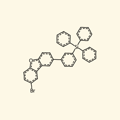 Brc1ccc2oc3ccc(-c4cccc([Si](c5ccccc5)(c5ccccc5)c5ccccc5)c4)cc3c2c1